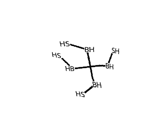 SBC(BS)(BS)BS